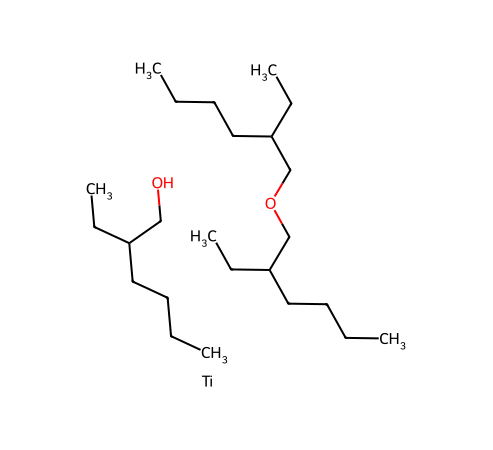 CCCCC(CC)CO.CCCCC(CC)COCC(CC)CCCC.[Ti]